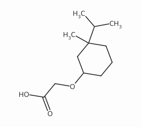 CC(C)C1(C)CCCC(OCC(=O)O)C1